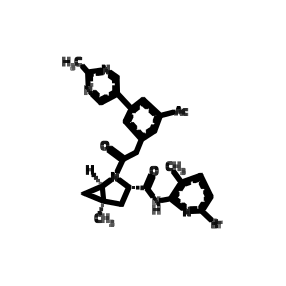 CC(=O)c1cc(CC(=O)N2[C@H](C(=O)Nc3nc(Br)ccc3C)C[C@@]3(C)C[C@@H]23)cc(-c2cnc(C)nc2)c1